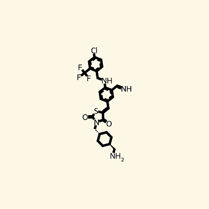 N=Cc1cc(/C=C2\SC(=O)N(C[C@H]3CC[C@H](CN)CC3)C2=O)ccc1NCc1ccc(Cl)cc1C(F)(F)F